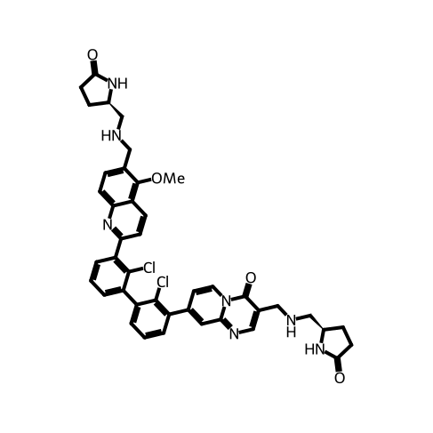 COc1c(CNC[C@H]2CCC(=O)N2)ccc2nc(-c3cccc(-c4cccc(-c5ccn6c(=O)c(CNC[C@H]7CCC(=O)N7)cnc6c5)c4Cl)c3Cl)ccc12